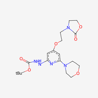 CC(C)(C)OC(=O)NNc1cc(OCCN2CCOC2=O)cc(N2CCOCC2)n1